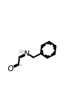 O=[C]/C=N\Cc1ccccc1